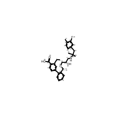 CCc1cc(-c2ccccc2[C@@H](C)OC[C@H](O)CNC(C)(C)Cc2ccc(C)c(F)c2)ccc1C(=O)O